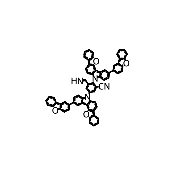 N#Cc1cc(-n2c3ccc(-c4ccc5oc6ccccc6c5c4)cc3c3c4oc5ccccc5c4ccc32)cc(C=N)c1-n1c2ccc(-c3ccc4oc5ccccc5c4c3)cc2c2c3oc4ccccc4c3ccc21